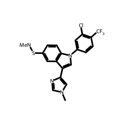 CNSc1ccc2c(c1)c(-c1cn(C)cn1)cn2-c1ccc(C(F)(F)F)c(Cl)c1